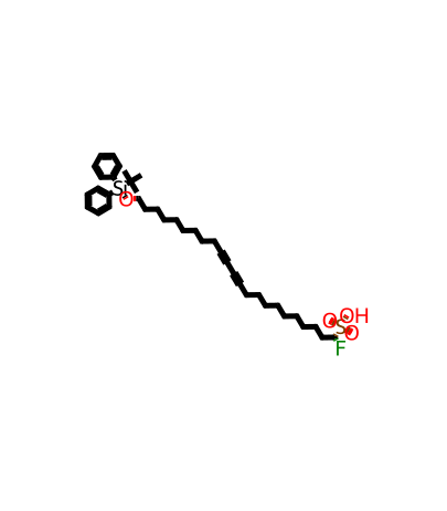 CC(C)(C)[Si](OCCCCCCCCCC#CC#CCCCCCCCCCC(F)S(=O)(=O)O)(c1ccccc1)c1ccccc1